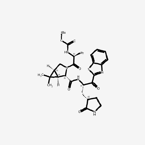 CC(C)[C@H](NC(=O)OC(C)(C)C)C(=O)N1C[C@H]2[C@@H]([C@H]1C(=O)N[C@@H](C[C@@H]1CCNC1=O)C(=O)c1nc3ccccc3s1)C2(C)C